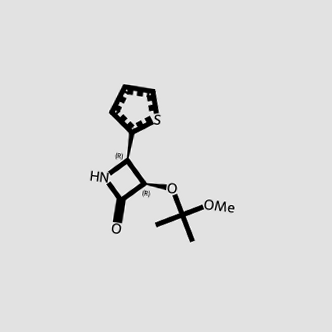 COC(C)(C)O[C@H]1C(=O)N[C@H]1c1cccs1